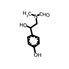 CN(C=O)CC(O)c1ccc(O)cc1